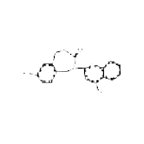 O=C1CCc2cc(Br)ccc2CN1c1cc(Cl)c2ccccc2n1